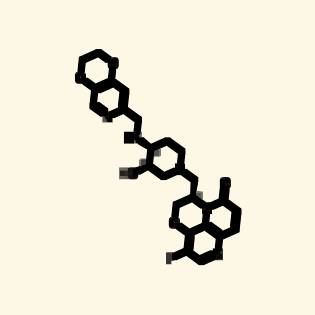 O=c1ccc2ncc(F)c3c2n1[C@H](CN1CC[C@H](NCc2cc4c(cn2)OCCO4)[C@H](O)C1)CO3